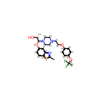 Cc1nc2cc(OC([C@@H](C)O)N3CCN(CCOc4ccc(OC(F)(F)F)cc4)CC3)ccc2s1